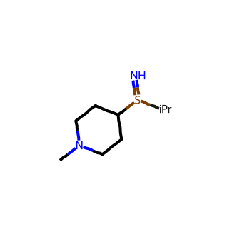 CC(C)S(=N)C1CCN(C)CC1